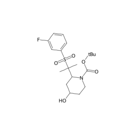 CC(C)(C)OC(=O)N1CCC(O)CC1C(C)(C)S(=O)(=O)c1cccc(F)c1